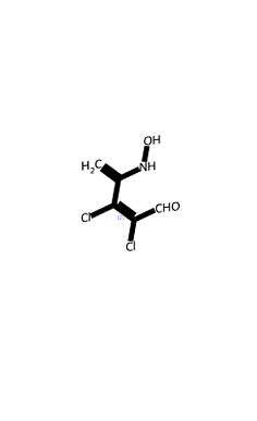 C=C(NO)/C(Cl)=C(/Cl)C=O